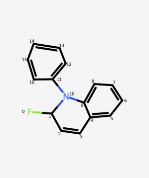 FC1C=Cc2ccccc2N1c1ccccc1